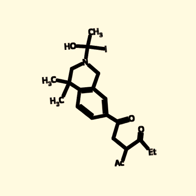 CCC(=O)C(CC(=O)c1ccc2c(c1)CN(C(C)(O)I)CC2(C)C)C(C)=O